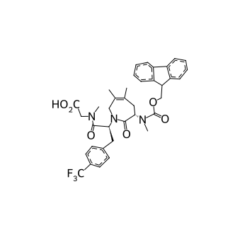 CC1=C(C)CN([C@@H](Cc2ccc(C(F)(F)F)cc2)C(=O)N(C)CC(=O)O)C(=O)[C@@H](N(C)C(=O)OCC2c3ccccc3-c3ccccc32)C1